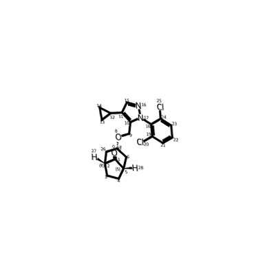 O=C1[C@@H]2CC[C@H]1C[C@@H](OCc1c(C3CC3)cnn1-c1c(Cl)cccc1Cl)C2